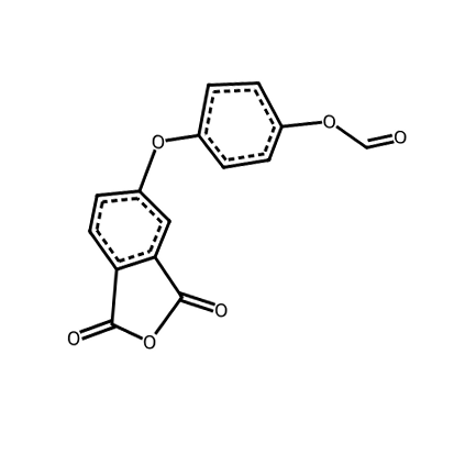 O=COc1ccc(Oc2ccc3c(c2)C(=O)OC3=O)cc1